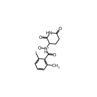 Cc1cccc(I)c1C(=O)[NH+]([O-])C1CCC(=O)NC1=O